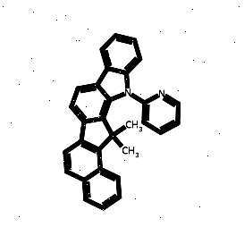 CC1(C)c2c(ccc3ccccc23)-c2ccc3c4ccccc4n(-c4ccccn4)c3c21